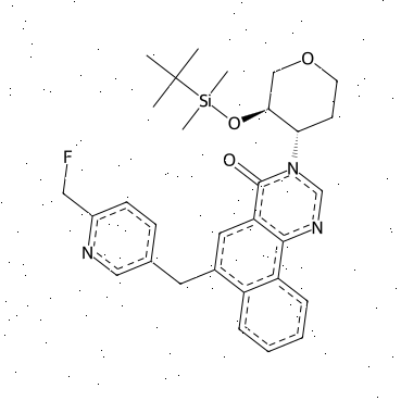 CC(C)(C)[Si](C)(C)O[C@H]1COCC[C@@H]1n1cnc2c(cc(Cc3ccc(CF)nc3)c3ccccc32)c1=O